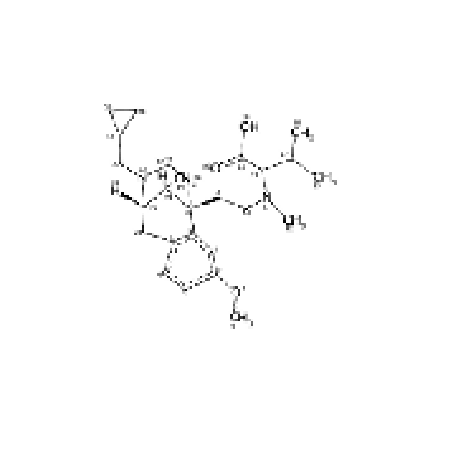 COc1ccc2c(c1)[C@@]1(CCN(C)C(C(=O)O)C(C)C)CCN(CC3CC3)[C@@H](C2)[C@H]1C